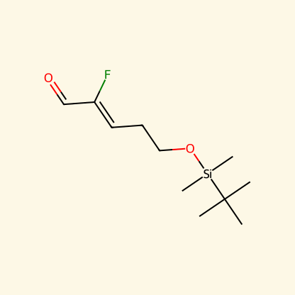 CC(C)(C)[Si](C)(C)OCC/C=C(\F)C=O